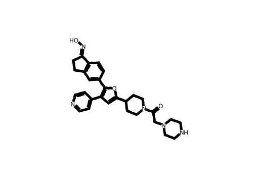 O=C(CN1CCNCC1)N1CCC(c2cc(-c3ccncc3)c(-c3ccc4c(c3)CCC4=NO)o2)CC1